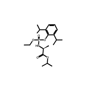 CCOP(=O)(N[C@@H](C)C(=O)OC(C)C)Oc1c(C(C)C)cccc1C(C)C